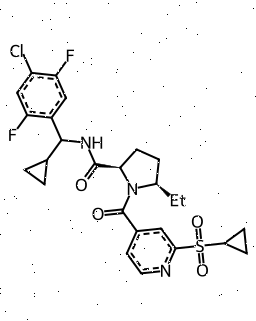 CC[C@@H]1CC[C@H](C(=O)NC(c2cc(F)c(Cl)cc2F)C2CC2)N1C(=O)c1ccnc(S(=O)(=O)C2CC2)c1